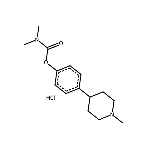 CN1CCC(c2ccc(OC(=O)N(C)C)cc2)CC1.Cl